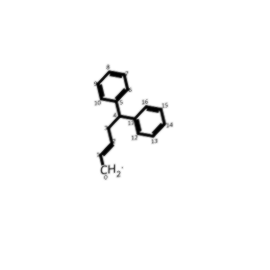 [CH2]/C=C/CC(c1ccccc1)c1ccccc1